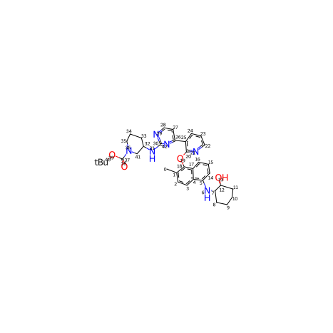 Cc1ccc2c(N[C@H]3CCCC[C@@H]3O)cccc2c1Oc1ncccc1-c1ccnc(NC2CCCN(C(=O)OC(C)(C)C)C2)n1